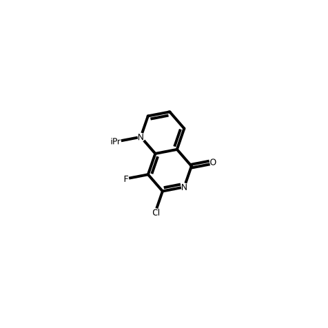 CC(C)n1cccc2c(=O)nc(Cl)c(F)c1-2